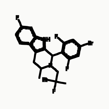 CCC(C)(F)CN1C(C)Cc2c([nH]c3cc(F)ccc23)C1c1c(F)cc(Br)cc1F